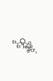 CCC(CC)c1cccc(C(=O)NS(=O)(=O)C(F)(F)F)n1